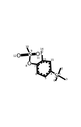 C[Si](C)(C)c1ccc(OS(C)(=O)=O)c(F)c1